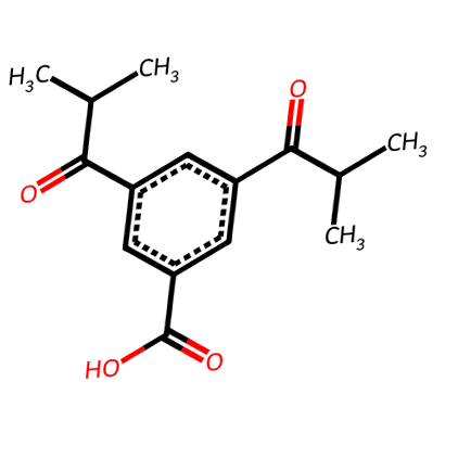 CC(C)C(=O)c1cc(C(=O)O)cc(C(=O)C(C)C)c1